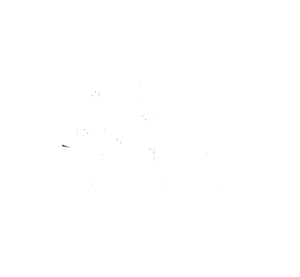 CCCCC[C@@](C)(Nc1nc(NCc2ccc(OC)cc2OC)nc2cccnc12)C(=O)O